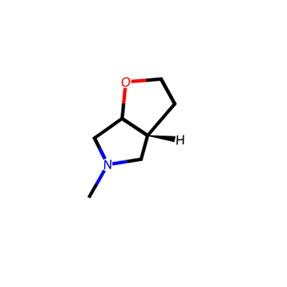 CN1CC2OCC[C@@H]2C1